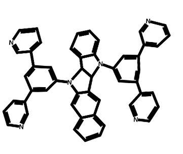 c1cncc(-c2cc(-c3cccnc3)cc(N3c4ccccc4C4C3c3cc5ccccc5cc3N4c3cc(-c4cccnc4)cc(-c4cccnc4)c3)c2)c1